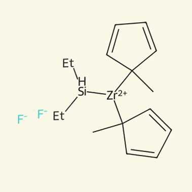 CC[SiH](CC)[Zr+2]([C]1(C)C=CC=C1)[C]1(C)C=CC=C1.[F-].[F-]